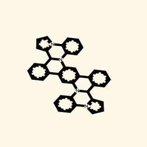 c1ccc2c(c1)-c1cc3c(cc1N1c4ccccc4-n4cccc4C21)-c1ccccc1C1c2cccn2-c2ccccc2N31